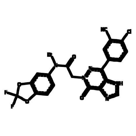 CCN(C(=O)Cn1nc(-c2ccc(Cl)c(C#N)c2)c2[nH]cnc2c1=O)c1ccc2c(c1)OC(F)(F)O2